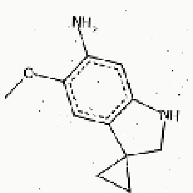 COc1cc2c(cc1N)NCC21CC1